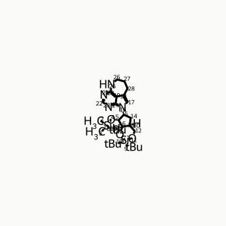 CC(C)(C)[Si](C)(C)O[C@@H]1[C@@H]2O[Si](C(C)(C)C)(C(C)(C)C)OC[C@H]2C[C@H]1n1cc2c3c(ncnc31)NCCC2